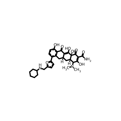 CN(C)C1C(O)=C(C(N)=O)C(=O)[C@@]2(O)C(O)=C3C(=O)c4c(O)ccc(-c5ccc(CNC6CCCCC6)o5)c4C[C@H]3C[C@@H]12